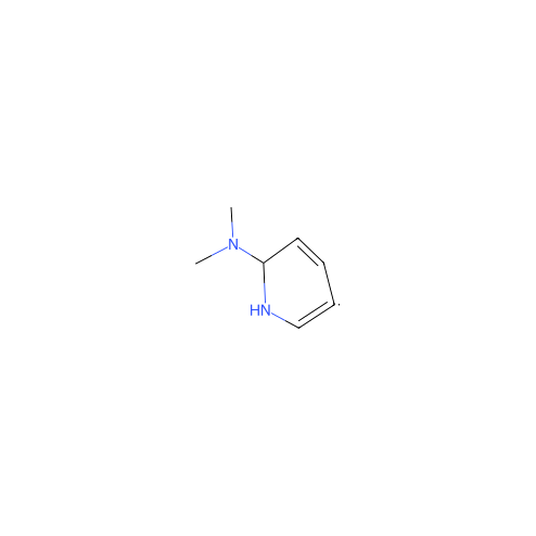 CN(C)C1C=C[C]=CN1